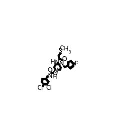 CSCCC1NC2(CCN(OC(=O)NCc3ccc(Cl)c(Cl)c3)CC2)N(Cc2ccc(F)cc2)C1=O